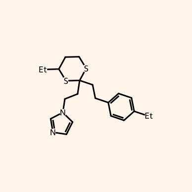 CCc1ccc(CCC2(CCn3ccnc3)SCCC(CC)S2)cc1